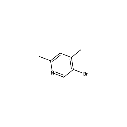 Cc1cc(C)c(Br)cn1